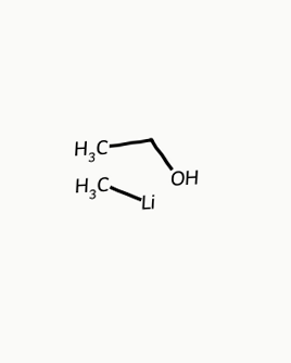 CCO.[Li][CH3]